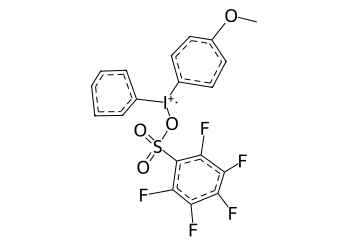 COc1ccc([I+](OS(=O)(=O)c2c(F)c(F)c(F)c(F)c2F)c2ccccc2)cc1